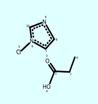 CCC(=O)O.Cln1ccnc1